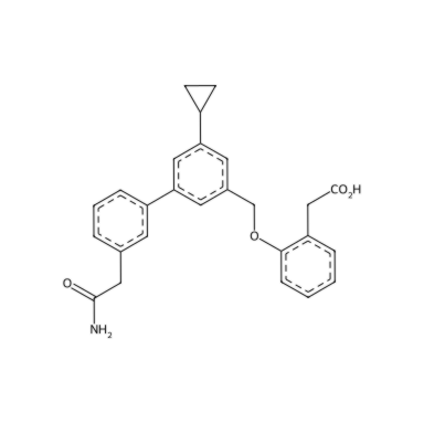 NC(=O)Cc1cccc(-c2cc(COc3ccccc3CC(=O)O)cc(C3CC3)c2)c1